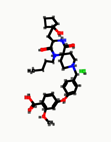 CCCCN1C(=O)[C@@H](CC2(O)CCCC2)NC(=O)C12CCN(Cc1ccc(Oc3ccc(C(=O)O)c(OC)c3)cc1)CC2.Cl